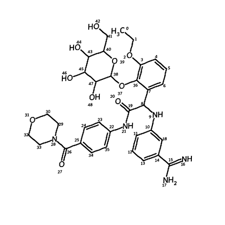 CCOc1cccc(C(Nc2cccc(C(=N)N)c2)C(=O)Nc2ccc(C(=O)N3CCOCC3)cc2)c1OC1OC(CO)C(O)C(O)C1O